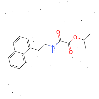 CC(C)OC(=O)C(=O)NCCc1cccc2ccccc12